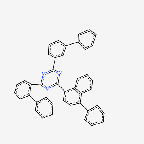 c1ccc(-c2cccc(-c3nc(-c4ccccc4-c4ccccc4)nc(-c4ccc(-c5ccccc5)c5ccccc45)n3)c2)cc1